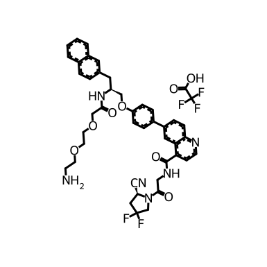 N#C[C@@H]1CC(F)(F)CN1C(=O)CNC(=O)c1ccnc2ccc(-c3ccc(OC[C@H](Cc4ccc5ccccc5c4)NC(=O)COCCOCCN)cc3)cc12.O=C(O)C(F)(F)F